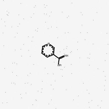 CCCC(=N)c1c[c]cnc1